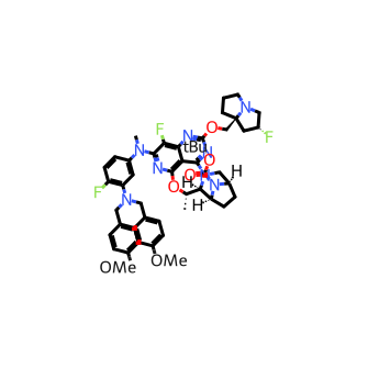 COc1ccc(CN(Cc2ccc(OC)cc2)c2cc(N(C)c3nc4c5c(nc(OC[C@@]67CCCN6C[C@H](F)C7)nc5c3F)N3C[C@H]5CC[C@@H]([C@H]3[C@H](C)O4)N5C(=O)OC(C)(C)C)ccc2F)cc1